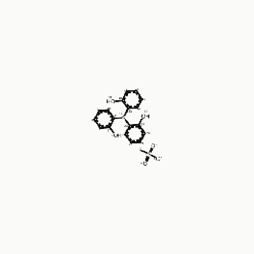 CS(=O)(=O)[O-].Oc1ccccc1[S+](c1ccccc1O)c1ccccc1O